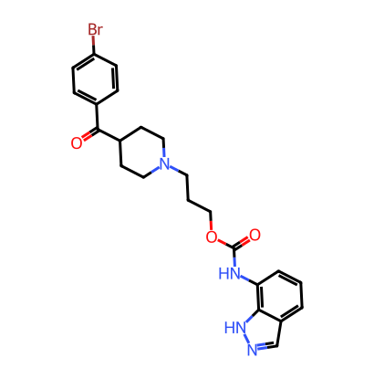 O=C(Nc1cccc2cn[nH]c12)OCCCN1CCC(C(=O)c2ccc(Br)cc2)CC1